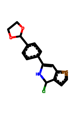 ClC1NC(c2ccc(C3OCCO3)cc2)=Cc2sccc21